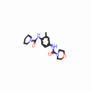 Cc1cc(NC(=O)N2CCOCC2)ccc1NC(=O)N1CCCCC1